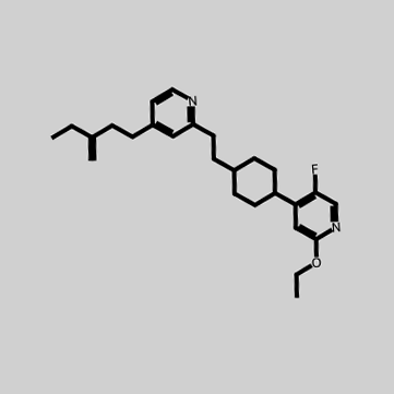 C=C(CC)CCc1ccnc(CCC2CCC(c3cc(OCC)ncc3F)CC2)c1